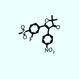 CC1(C)OC(c2ccc(S(C)(=O)=O)c(F)c2)=C(c2ccc([N+](=O)[O-])cc2)C1=O